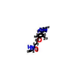 C#CCNC(=O)CCCOc1c(C)cc(-c2nnn(C)n2)cc1C